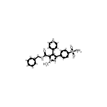 Cn1nc(-c2ccc(S(N)(=O)=O)cc2)c(-c2ccncc2)c1C(=O)OCc1ccccc1